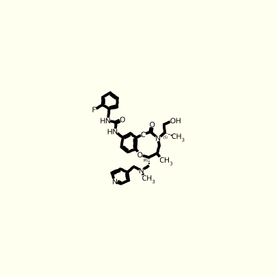 CC1CN([C@@H](C)CO)C(=O)Cc2cc(NC(=O)Nc3ccccc3F)ccc2O[C@H]1CN(C)Cc1ccncc1